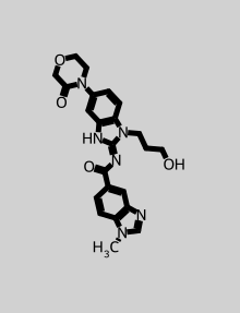 Cn1cnc2cc(C(=O)/N=c3\[nH]c4cc(N5CCOCC5=O)ccc4n3CCCO)ccc21